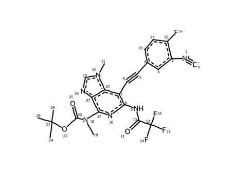 [C-]#[N+]c1cc(C#Cc2c(NC(=O)C(F)(F)F)nc(N(C)C(=O)OC(C)(C)C)c3ncn(C)c23)ccc1F